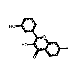 Cc1ccc2c(=O)c(O)c(-c3cccc(O)c3)oc2c1